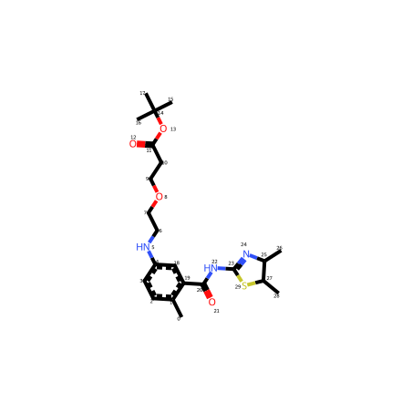 Cc1ccc(NCCOCCC(=O)OC(C)(C)C)cc1C(=O)NC1=NC(C)C(C)S1